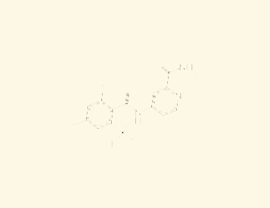 Cc1cc(F)c(C(=O)Nc2ccnc(C(N)=O)c2)c(C(F)(F)F)c1